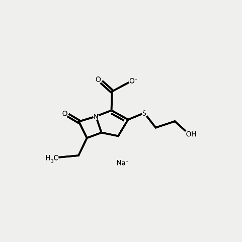 CCC1C(=O)N2C(C(=O)[O-])=C(SCCO)CC12.[Na+]